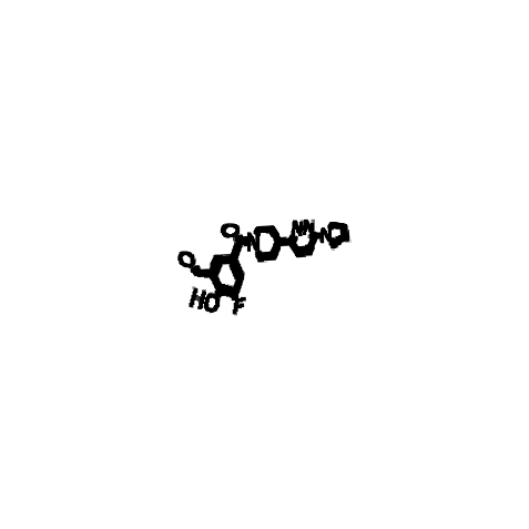 O=Cc1cc(C(=O)N2CCC(c3ccc(N4CCCC4)nn3)CC2)cc(F)c1O